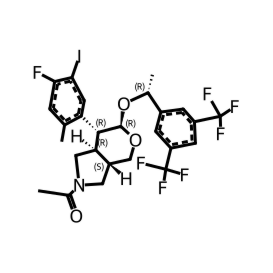 CC(=O)N1C[C@H]2CO[C@H](O[C@H](C)c3cc(C(F)(F)F)cc(C(F)(F)F)c3)[C@@H](c3cc(I)c(F)cc3C)[C@@H]2C1